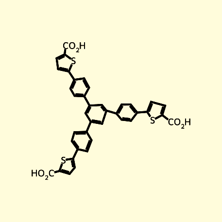 O=C(O)c1ccc(-c2ccc(-c3cc(-c4ccc(-c5ccc(C(=O)O)s5)cc4)cc(-c4ccc(-c5ccc(C(=O)O)s5)cc4)c3)cc2)s1